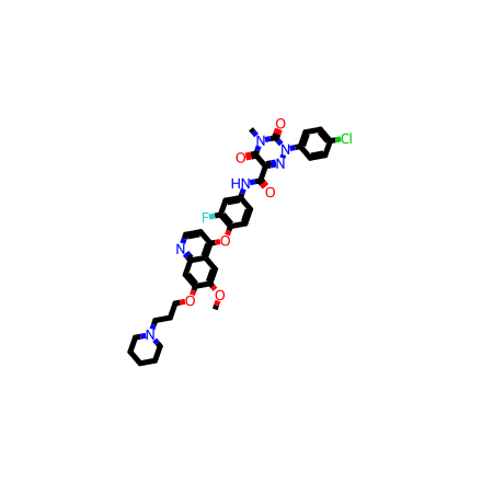 COc1cc2c(Oc3ccc(NC(=O)c4nn(-c5ccc(Cl)cc5)c(=O)n(C)c4=O)cc3F)ccnc2cc1OCCCN1CCCCC1